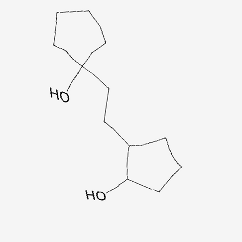 OC1CCCC1CCC1(O)CCCC1